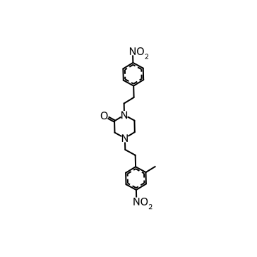 Cc1cc([N+](=O)[O-])ccc1CCN1CCN(CCc2ccc([N+](=O)[O-])cc2)C(=O)C1